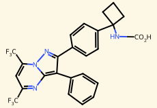 O=C(O)NC1(c2ccc(-c3nn4c(C(F)(F)F)cc(C(F)(F)F)nc4c3-c3ccccc3)cc2)CCC1